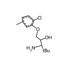 Cc1ccc(Cl)c(OCC(O)C(N)C(C)(C)C)c1